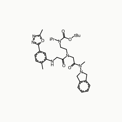 Cc1nnc(-c2ccc(C)c(NCC(=O)N(CCN(C(=O)OC(C)(C)C)C(C)C)CC(=O)N(C)N3Cc4ccccc4C3)c2)o1